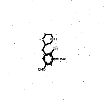 COc1cc(C=O)cc(CC2CNCCO2)c1O